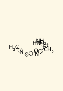 C=C(c1ccc2nc(-c3ccc(OCCN4CCC(C)CC4)cc3)oc2c1)C(CC)CC(=O)NN